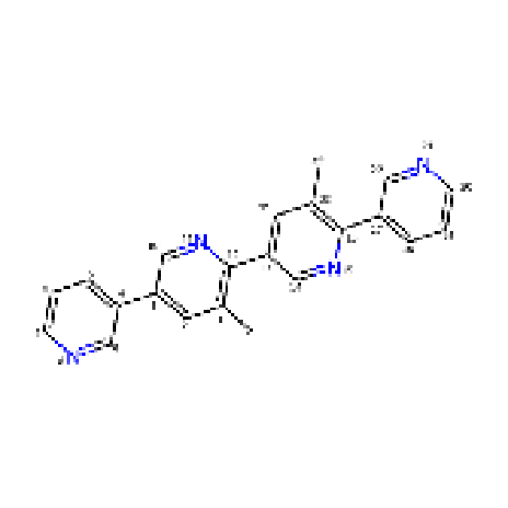 Cc1cc(-c2cccnc2)cnc1-c1cnc(-c2cccnc2)c(C)c1